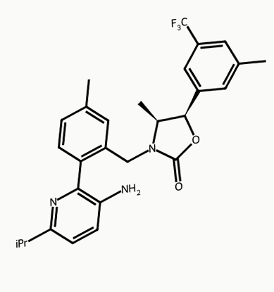 Cc1cc([C@H]2OC(=O)N(Cc3cc(C)ccc3-c3nc(C(C)C)ccc3N)[C@H]2C)cc(C(F)(F)F)c1